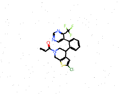 C=CC(=O)N1Cc2sc(Cl)cc2C(c2ccccc2-c2cncnc2C(F)(F)F)C1